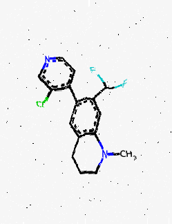 CN1CCCc2cc(-c3ccncc3Cl)c(C(F)F)cc21